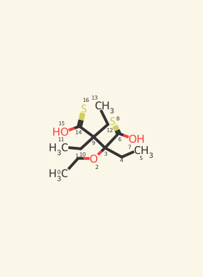 CCOC(CC)(C(O)=S)C(CC)(CC)C(O)=S